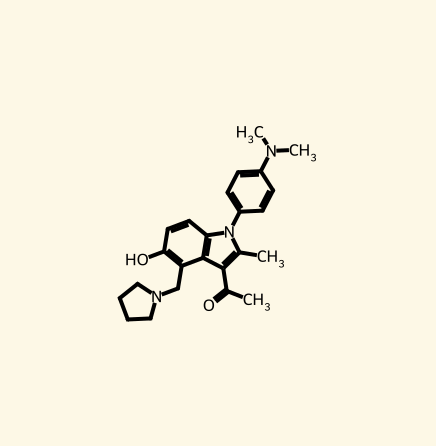 CC(=O)c1c(C)n(-c2ccc(N(C)C)cc2)c2ccc(O)c(CN3CCCC3)c12